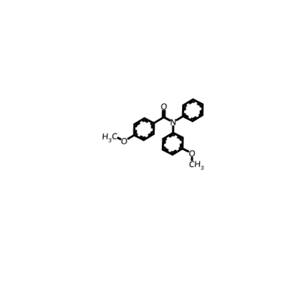 COc1ccc(C(=O)N(c2ccccc2)c2cccc(OC)c2)cc1